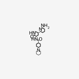 Nc1cccc(-c2c[nH]c(=O)c(NC(=O)c3ccc(N4CCCCC4)cc3)c2)n1